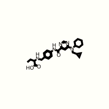 CCC(NCc1ccc(NC(=O)c2cc(N(CC3CC3)C3CCCCC3)ncn2)cc1)C(=O)O